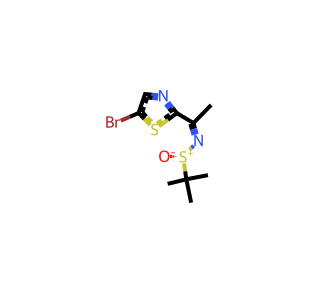 C/C(=N/[S@@+]([O-])C(C)(C)C)c1ncc(Br)s1